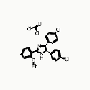 CCOc1ccccc1C1=N[C@@H](c2ccc(Cl)cc2)[C@@H](c2ccc(Cl)cc2)N1.O=C(Cl)Cl